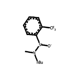 CCCCN(C)[S+]([O-])c1ccccc1C(F)(F)F